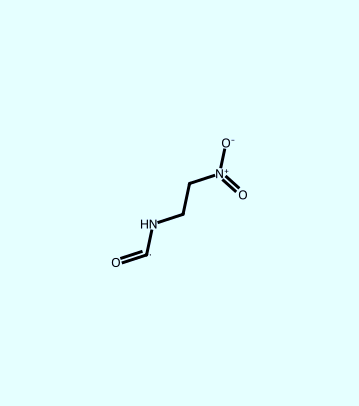 O=[C]NCC[N+](=O)[O-]